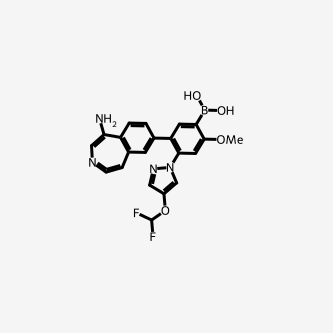 COc1cc(-n2cc(OC(F)F)cn2)c(-c2ccc3c(c2)C=C=NC=C3N)cc1B(O)O